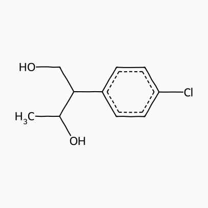 CC(O)C(CO)c1ccc(Cl)cc1